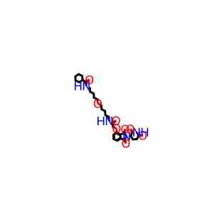 O=C(COc1cccc2c1C(=O)N(C1CCC(=O)NC1=O)C2=O)NCCCCCOCCCCCNC(=O)C1CCCCC1